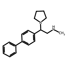 CNCC(c1ccc(-c2ccccc2)cc1)N1CCCC1